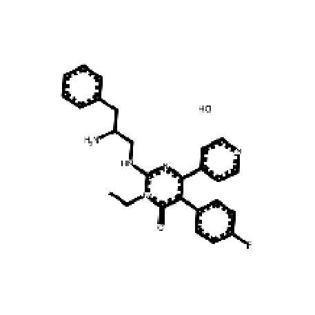 CCn1c(NCC(N)Cc2ccccc2)nc(-c2ccncc2)c(-c2ccc(F)cc2)c1=O.Cl